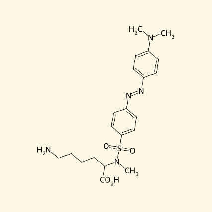 CN(C)c1ccc(N=Nc2ccc(S(=O)(=O)N(C)C(CCCCN)C(=O)O)cc2)cc1